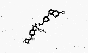 Cn1c(NCc2ccc(-n3ccc4cc(Cl)cnc43)cc2)nc2ccc(NC3COC3)cc21